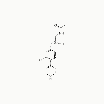 CC(=O)NC[C@H](O)Cc1cnc(C2=CCNCC2)c(Cl)c1